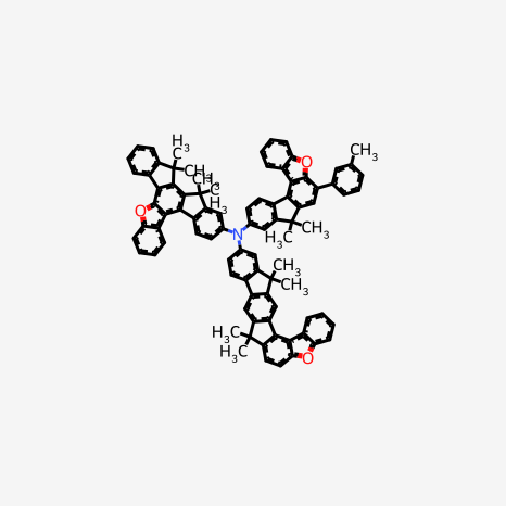 Cc1cccc(-c2cc3c(c4c2oc2ccccc24)-c2ccc(N(c4ccc5c(c4)C(C)(C)c4cc6c(cc4-5)C(C)(C)c4ccc5oc7ccccc7c5c4-6)c4ccc5c(c4)C(C)(C)c4c6c(c7oc8ccccc8c7c4-5)-c4ccccc4C6(C)C)cc2C3(C)C)c1